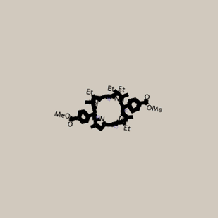 CCc1c2[nH]c(c1C)/C(c1ccc(C(=O)OC)cc1)=C1N=C(C=C\1C)/C=c1\[nH]/c(c(C)c1CC)=C(/c1ccc(C(=O)OC)cc1)C1=C(C)C(CC)(CC)/C(=C/2)N1